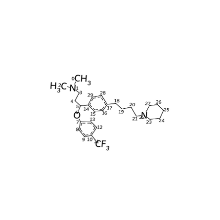 CN(C)CCC(Oc1ccc(C(F)(F)F)cc1)c1ccc(CCCCN2CCCCC2)cc1